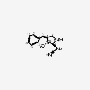 N#CN=C1NCC(=Cc2ccccc2)[S+]1[O-]